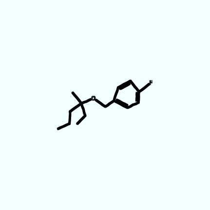 CCCC(C)(CC)OCc1ccc(F)cc1